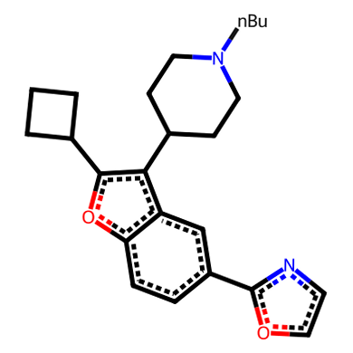 CCCCN1CCC(c2c(C3CCC3)oc3ccc(-c4ncco4)cc23)CC1